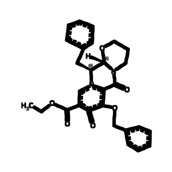 CCOC(=O)c1cn2c(c(OCc3ccccc3)c1=O)C(=O)N1CCCO[C@H]1[C@@H]2Cc1ccccc1